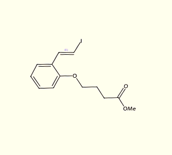 COC(=O)CCCOc1ccccc1/C=C/I